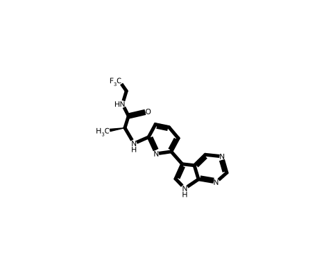 C[C@H](Nc1cccc(-c2c[nH]c3ncncc23)n1)C(=O)NCC(F)(F)F